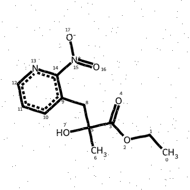 CCOC(=O)C(C)(O)Cc1cccnc1[N+](=O)[O-]